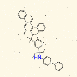 C=C/C=C(\C(=C/C)c1cc2c(c3ccccc13)-c1ccc(C(CC)(CC)Nc3ccc(-c4ccccc4)cc3)cc1C2(C)C)c1ccccc1